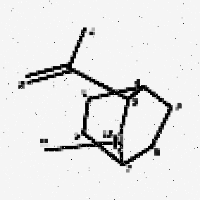 C=C(C)C1C2CCC(CC2)N1C